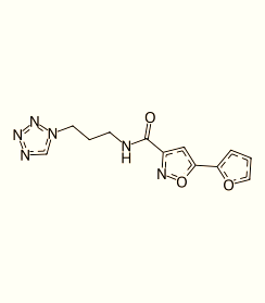 O=C(NCCCn1cnnn1)c1cc(-c2ccco2)on1